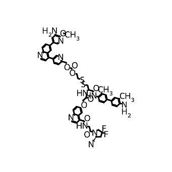 COc1ncc(-c2ccc3nccc(-c4ccc(COC(=O)OCCSSCC(NC(=O)COc5ccc6nccc(C(=O)NCC(=O)N7CC(F)(F)C[C@H]7C#N)c6c5)C(=O)Nc5ccc(-c6ccc(N)c(C)c6)cc5C)nc4)c3c2)cc1N